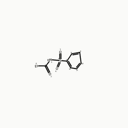 CCC(=O)NS(=O)(=O)c1[c]cccc1